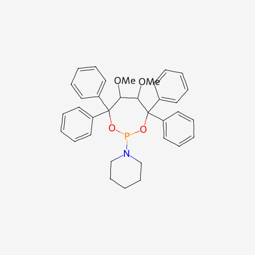 COC1C(OC)C(c2ccccc2)(c2ccccc2)OP(N2CCCCC2)OC1(c1ccccc1)c1ccccc1